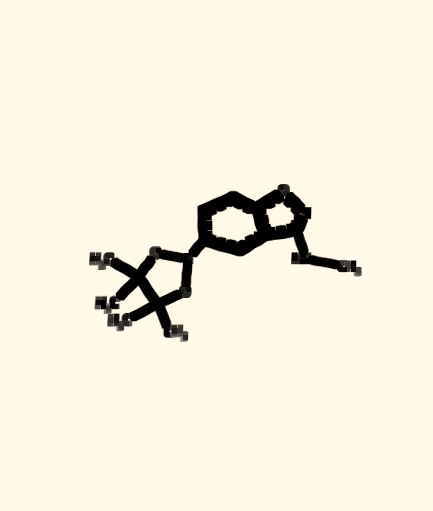 CNc1noc2ccc(B3OC(C)(C)C(C)(C)O3)cc12